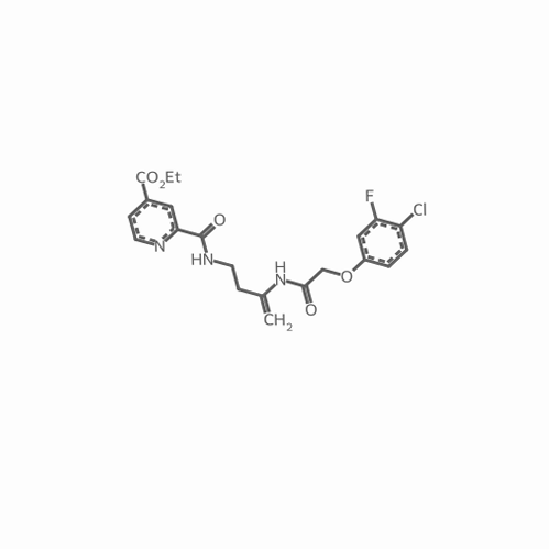 C=C(CCNC(=O)c1cc(C(=O)OCC)ccn1)NC(=O)COc1ccc(Cl)c(F)c1